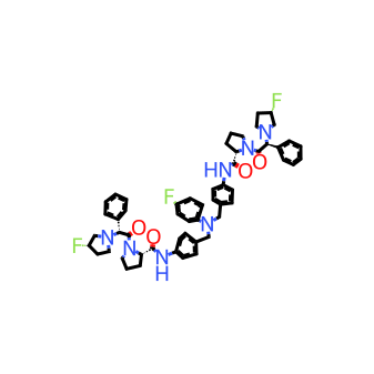 O=C(Nc1ccc(CN(Cc2ccc(NC(=O)[C@@H]3CCCN3C(=O)[C@@H](c3ccccc3)N3CC[C@H](F)C3)cc2)c2ccc(F)cc2)cc1)[C@@H]1CCCN1C(=O)[C@H](c1ccccc1)N1CC[C@H](F)C1